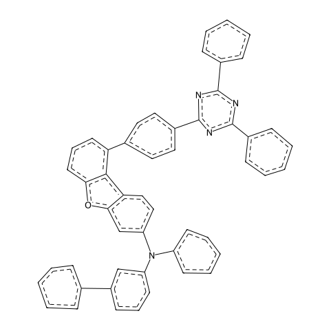 c1ccc(-c2cccc(N(c3ccccc3)c3ccc4c(c3)oc3cccc(-c5ccc(-c6nc(-c7ccccc7)nc(-c7ccccc7)n6)cc5)c34)c2)cc1